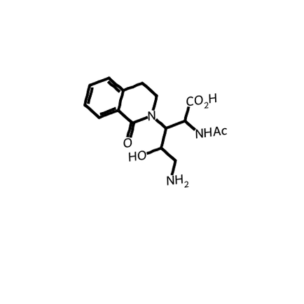 CC(=O)NC(C(=O)O)C(C(O)CN)N1CCc2ccccc2C1=O